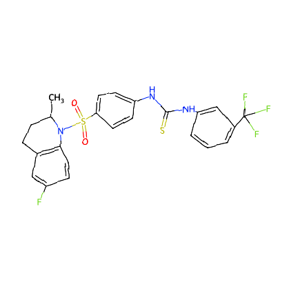 CC1CCc2cc(F)ccc2N1S(=O)(=O)c1ccc(NC(=S)Nc2cccc(C(F)(F)F)c2)cc1